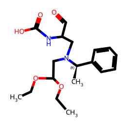 CCOC(CN(CC(C=O)NC(=O)O)[C@H](C)c1ccccc1)OCC